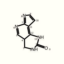 O=C1NCC2C=NC3=NC=CC3=C2N1